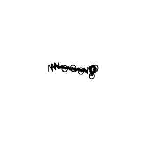 [N-]=[N+]=NCCOCCOCCOCCN1CCOCC1=O